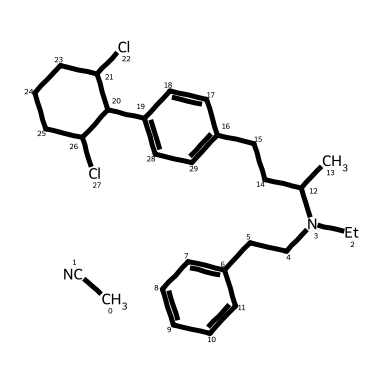 CC#N.CCN(CCc1ccccc1)C(C)CCc1ccc(C2C(Cl)CCCC2Cl)cc1